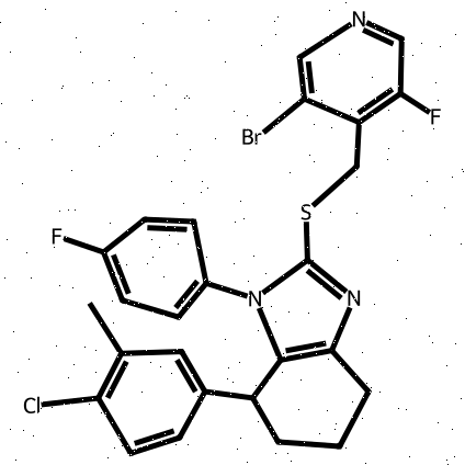 Cc1cc(C2CCCc3nc(SCc4c(F)cncc4Br)n(-c4ccc(F)cc4)c32)ccc1Cl